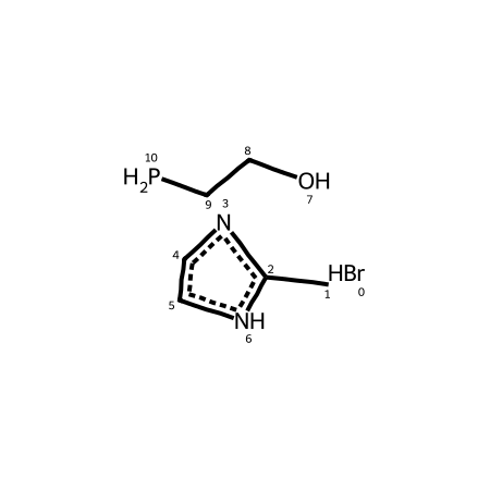 Br.Cc1ncc[nH]1.OCCP